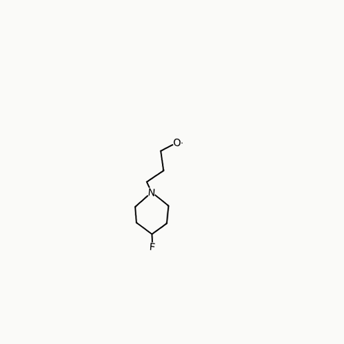 [O]CCCN1CCC(F)CC1